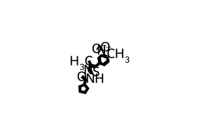 Cc1ccc(-c2sc(NC(=O)C3CCCC3)nc2C)cc1[N+](=O)[O-]